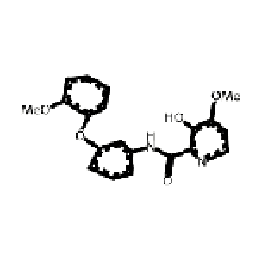 COc1ccccc1Oc1cccc(NC(=O)c2nccc(OC)c2O)c1